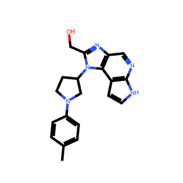 Cc1ccc(N2CCC(n3c(CO)nc4cnc5[nH]ccc5c43)C2)cc1